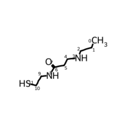 CCCNCCC(=O)NCCS